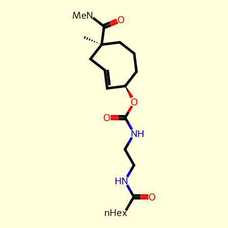 CCCCCCC(=O)NCCNC(=O)O[C@H]1/C=C/C[C@@](C)(C(=O)NC)CCC1